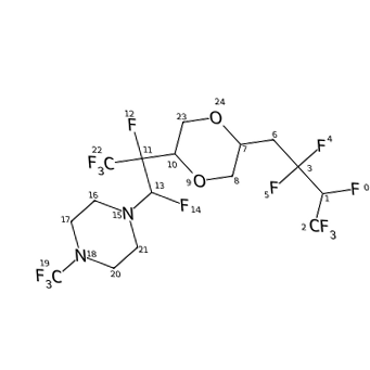 FC(C(F)(F)F)C(F)(F)CC1COC(C(F)(C(F)N2CCN(C(F)(F)F)CC2)C(F)(F)F)CO1